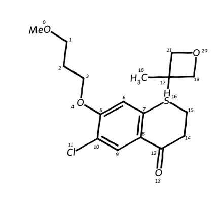 COCCCOc1cc2c(cc1Cl)C(=O)CC[SH]2C1(C)COC1